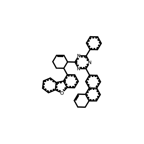 C1=Cc2c(ccc3ccc(-c4nc(-c5ccccc5)nc(C5C=CCCC5c5cccc6oc7ccccc7c56)n4)cc23)CC1